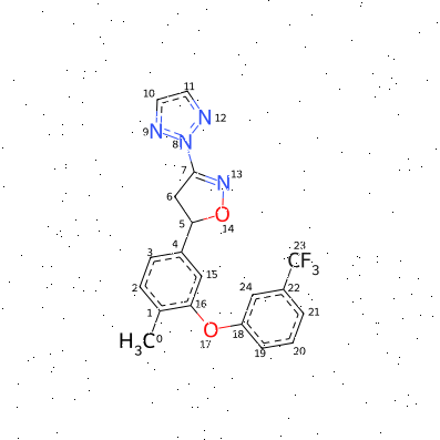 Cc1ccc(C2CC(n3nccn3)=NO2)cc1Oc1cccc(C(F)(F)F)c1